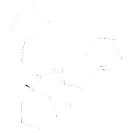 c1ccc(CN2NN(Cc3ccccc3)[C@H]3CCCC[C@@H]32)cc1